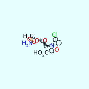 C[C@@H](CO[C@H]1CCO[C@@H]([C@@H]2CC[C@H]2CN2CC3(CCCc4cc(Cl)ccc43)COc3ccc(C(=O)O)cc32)C1)S(N)(=O)=O